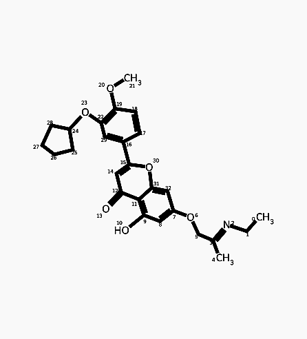 CCN=C(C)COc1cc(O)c2c(=O)cc(-c3ccc(OC)c(OC4CCCC4)c3)oc2c1